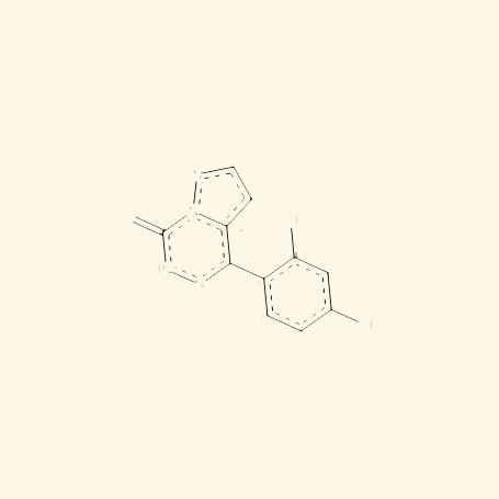 FC(F)(F)c1ccc(-c2n[nH]c(=S)n3nccc23)c(C(F)(F)F)c1